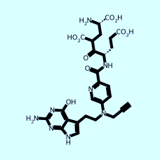 C#CCN(CCc1c[nH]c2nc(N)nc(O)c12)c1ccc(C(=O)N[C@@H](CCC(=O)O)C(=O)C(C[C@H](N)C(=O)O)C(=O)O)nc1